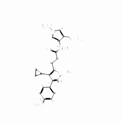 CCn1cc(NC(=O)CCc2onc(-c3ccc(O)cc3)c2C2CC2)c(C(=O)[O-])c1.[K+]